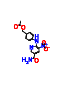 CC(=O)OCc1ccc(Nc2ncc(C(N)=O)cc2[N+](=O)[O-])cc1